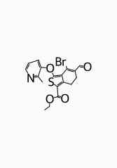 CCOC(=O)c1sc(Oc2cccnc2C)c2c1CCC(C=O)=C2Br